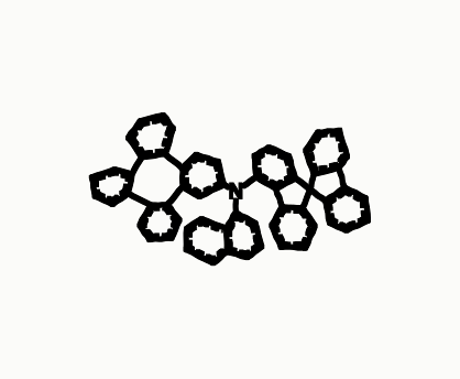 c1ccc2c(c1)-c1ccccc1-c1ccc(N(c3cccc4c3-c3ccccc3C43c4ccccc4-c4ccccc43)c3cccc4ccccc34)cc1-c1ccccc1-2